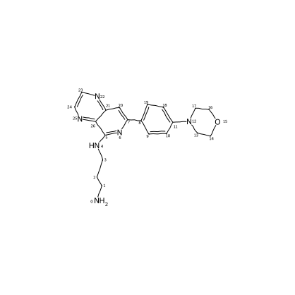 NCCCNc1nc(-c2ccc(N3CCOCC3)cc2)cc2nccnc12